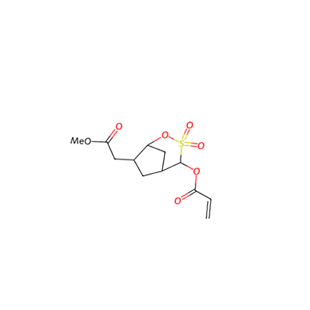 C=CC(=O)OC1C2CC(CC(=O)OC)C(C2)OS1(=O)=O